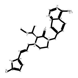 COC(C)[C@H]1C(=O)N(Cc2ccc3c(N)ncnc3c2)CCN1CC=Cc1ccc(Cl)s1